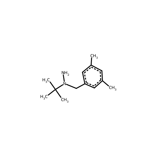 Cc1cc(C)cc(CN(N)C(C)(C)C)c1